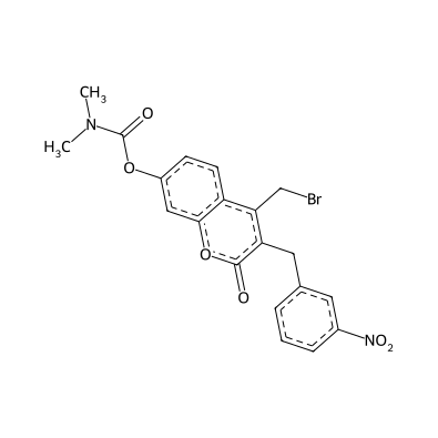 CN(C)C(=O)Oc1ccc2c(CBr)c(Cc3cccc([N+](=O)[O-])c3)c(=O)oc2c1